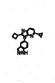 c1cc2[nH]ncc2cc1-n1c(C2CCC2)nc2ccc(C3CC3)nc21